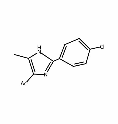 CC(=O)c1nc(-c2ccc(Cl)cc2)[nH]c1C